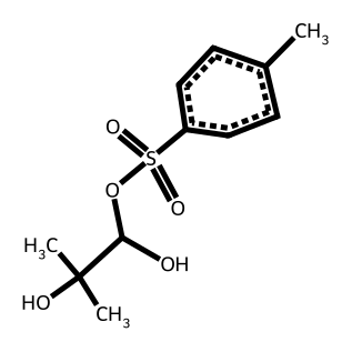 Cc1ccc(S(=O)(=O)OC(O)C(C)(C)O)cc1